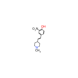 CN1CCC(C=Cc2ccc(O)c([N+](=O)[O-])c2)CC1